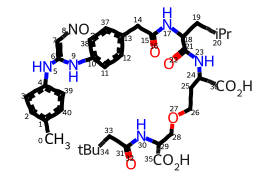 Cc1ccc(NC(=C[N+](=O)[O-])Nc2ccc(CC(=O)NC(CC(C)C)C(=O)NC(CCOCC(NC(=O)CC(C)(C)C)C(=O)O)C(=O)O)cc2)cc1